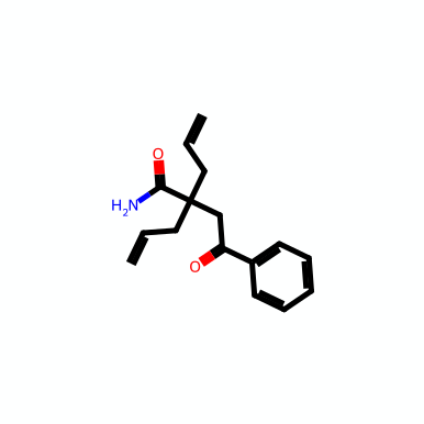 C=CCC(CC=C)(CC(=O)c1ccccc1)C(N)=O